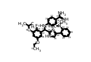 CCOc1cc(OC(C)C)c(F)c(C(Nc2ccc(C(=N)N)cc2)c2nc(-c3ccccc3N(C)C)c[nH]2)c1